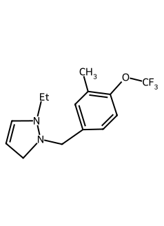 CCN1C=CCN1Cc1ccc(OC(F)(F)F)c(C)c1